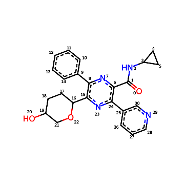 O=C(NC1CC1)c1nc(-c2ccccc2)c(C2CCC(O)CO2)nc1-c1cccnc1